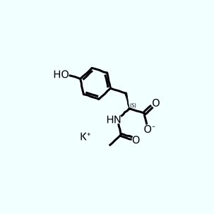 CC(=O)N[C@@H](Cc1ccc(O)cc1)C(=O)[O-].[K+]